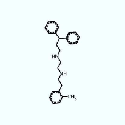 Cc1ccccc1CCNCCNCCC(c1ccccc1)c1ccccc1